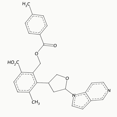 Cc1ccc(C(=O)OCc2c(C(=O)O)ccc(C)c2C2COC(n3ccc4cnccc43)C2)cc1